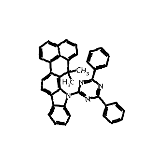 CC1(C)c2cccc3cccc(c23)-c2ccc3c4ccccc4n(-c4nc(-c5ccccc5)nc(-c5ccccc5)n4)c3c21